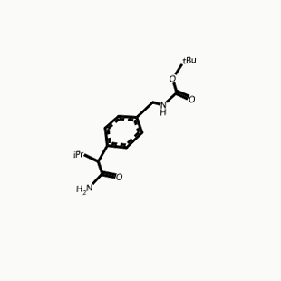 CC(C)C(C(N)=O)c1ccc(CNC(=O)OC(C)(C)C)cc1